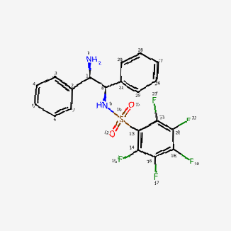 N[C@H](c1ccccc1)[C@H](NS(=O)(=O)c1c(F)c(F)c(F)c(F)c1F)c1ccccc1